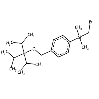 CC(C)[Si](OCc1ccc([Si](C)(C)CBr)cc1)(C(C)C)C(C)C